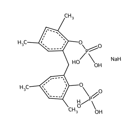 Cc1cc(C)c(OP(=O)(O)O)c(Cc2cc(C)cc(C)c2OP(=O)(O)O)c1.[NaH]